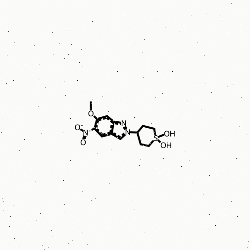 COc1cc2nn(C3CCS(O)(O)CC3)cc2cc1[N+](=O)[O-]